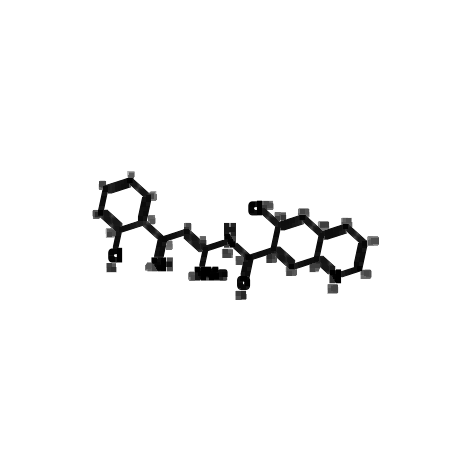 CN/C(=C\C(=N)c1ccccc1Cl)NC(=O)c1cc2ncccc2cc1Cl